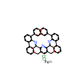 [Cl-].[Cl-].[Fe+2].c1ccc(-c2cccc(-c3ccccc3)c2N=C2CCCc3cc4c(nc32)C(=Nc2c(-c3ccccc3)cccc2-c2ccccc2)CCC4)cc1